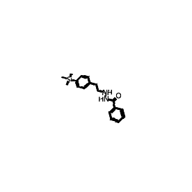 C[Si](C)(C)c1ccc(CCNNC(=O)c2ccccc2)cc1